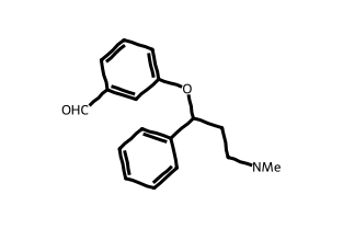 CNCCC(Oc1cccc(C=O)c1)c1ccccc1